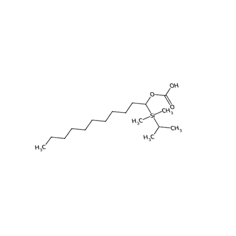 CCCCCCCCCCC(OC(=O)O)[Si](C)(C)C(C)C